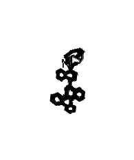 c1ccc2c(-c3cc4c5ccccc5c5ccccc5c4c4ccccc34)ccc(-c3cn4ccccc4n3)c2c1